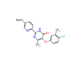 COc1ccc(-c2nc(C(F)(F)F)c(Oc3ccc(Cl)c(C(F)(F)F)c3)c(=O)[nH]2)nc1